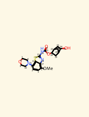 COc1ccc(N2CCOCC2)c2sc(NC(=O)OC3CC4CC3CC4O)nc12